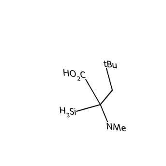 CNC([SiH3])(CC(C)(C)C)C(=O)O